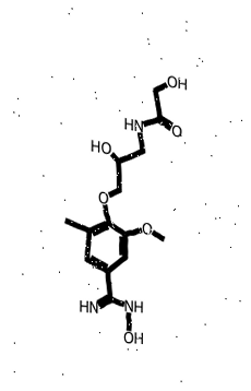 COc1cc(C(=N)NO)cc(C)c1OCC(O)CNC(=O)CO